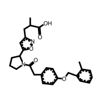 Cc1ccccc1COc1ccc(CC(=O)N2CCCC2c2cc(CC(C)C(=O)O)no2)cc1